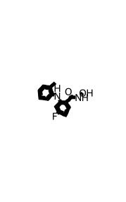 Cc1ccccc1Nc1cc(F)ccc1C(=O)NO